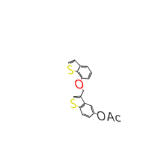 CC(=O)Oc1ccc2scc(COc3cccc4ccsc34)c2c1